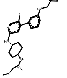 COC[C@@H](C)N[C@H]1CC[C@H](Nc2cc(-c3cccc(NCC4(O)CC4)c3)c(F)cn2)CC1